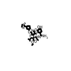 CCCN(c1c(F)c(Oc2cccc(C3=NCCN3C)c2)nc(Oc2cc(C(=N)N)ccc2O)c1F)C(CC(C)C)C(=O)OCC